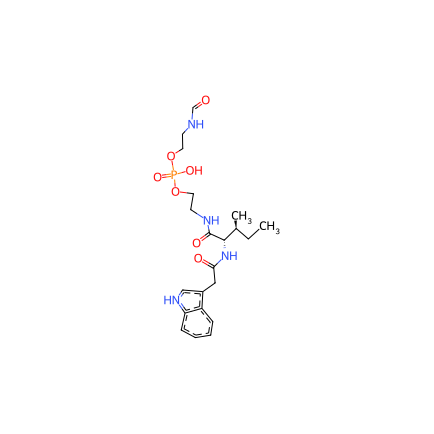 CC[C@H](C)[C@H](NC(=O)Cc1c[nH]c2ccccc12)C(=O)NCCOP(=O)(O)OCCNC=O